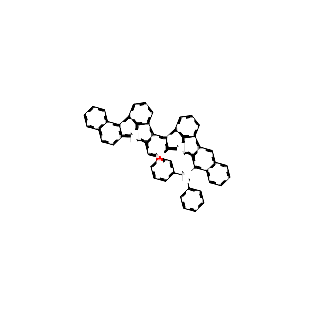 c1ccc(N(c2ccccc2)c2c3ccccc3cc3c4cccc5c6c7c8cccc9c%10c%11ccccc%11ccc%10n(c7cnc6n(c23)c45)c98)cc1